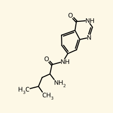 CC(C)CC(N)C(=O)Nc1ccc2c(=O)[nH]cnc2c1